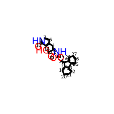 O=C(NC(Cc1cc[nH]c(=O)c1)C(=O)O)OCC1c2ccccc2-c2ccccc21